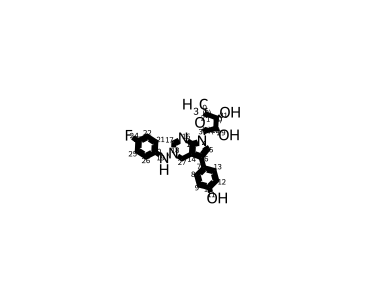 C[C@H]1O[C@@H](n2cc(-c3ccc(O)cc3)c3c2N=CN(Nc2ccc(F)cc2)C3)[C@H](O)[C@@H]1O